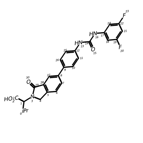 CC(C)C(C(=O)O)N1Cc2ccc(-c3ccc(NC(=O)Nc4cc(F)cc(F)c4)cc3)cc2C1=O